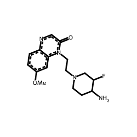 COc1ccc2ncc(=O)n(CCN3CCC(N)C(F)C3)c2c1